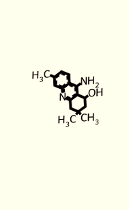 Cc1ccc2c(N)c3c(nc2c1)CC(C)(C)CC3O